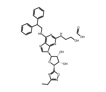 CCc1noc([C@H]2O[C@@H](n3cnc4c(NCC(c5ccccc5)c5ccccc5)nc(NCCO)nc43)[C@H](O)[C@@H]2O)n1.O=CO